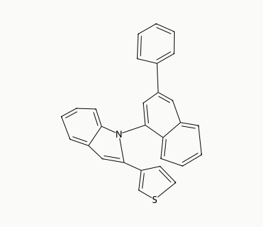 c1ccc(-c2cc(-n3c(-c4ccsc4)cc4ccccc43)c3ccccc3c2)cc1